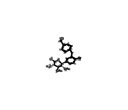 CCOc1ccc(Cc2cc([C@@H]3O[C@H](CC)[C@@H](C)[C@H](OC(C)=O)[C@H]3OC(C)=O)ccc2Br)cc1